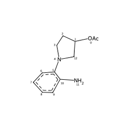 CC(=O)OC1CCN(c2ccccc2N)C1